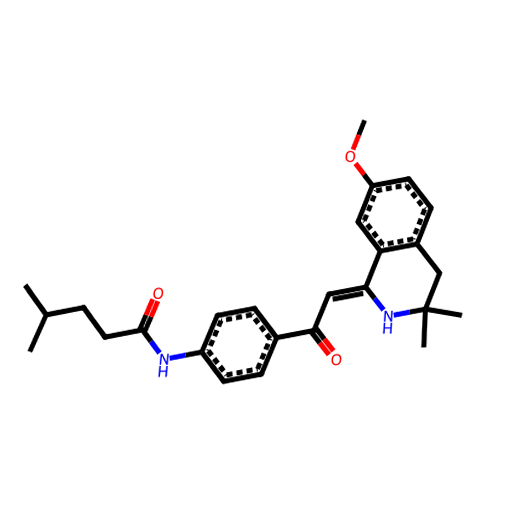 COc1ccc2c(c1)C(=CC(=O)c1ccc(NC(=O)CCC(C)C)cc1)NC(C)(C)C2